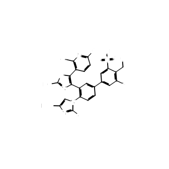 Cc1cn(-c2ccc(-c3cc(F)c(CO)c(S(C)(=O)=O)c3)cc2-c2nc(C)oc2-c2ccc(Cl)nc2Cl)c(C)n1